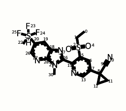 CCS(=O)(=O)c1cc(C2(C#N)CC2)cnc1-c1nc2cc([SH](C)(F)(F)F)cnc2n1C